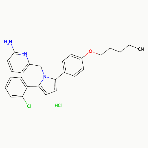 Cl.N#CCCCCOc1ccc(-c2ccc(-c3ccccc3Cl)n2Cc2cccc(N)n2)cc1